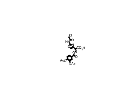 CC(=O)Oc1ccc(C(=O)ON=C(C(=O)O)c2coc(NC(=O)CCl)n2)cc1OC(C)=O